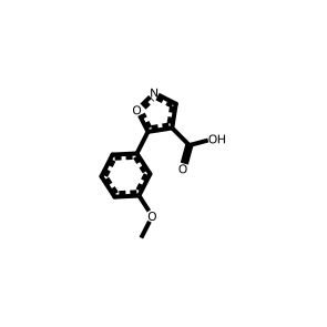 COc1cccc(-c2oncc2C(=O)O)c1